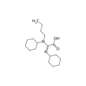 CCCCN(/C(=N/C1CCCCC1)C(=O)O)C1CCCCC1